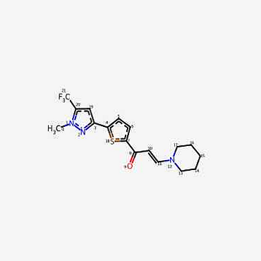 Cn1nc(-c2ccc(C(=O)C=CN3CCCCC3)s2)cc1C(F)(F)F